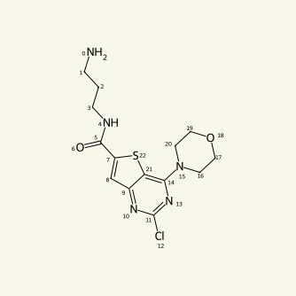 NCCCNC(=O)c1cc2nc(Cl)nc(N3CCOCC3)c2s1